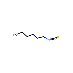 N#CCCCCCN=C=S